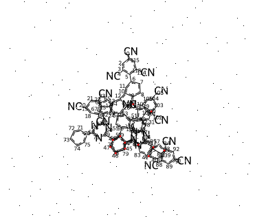 N#Cc1cc(C#N)c(-c2ccc3c(c2)c2cc(-c4c(C#N)cc(C#N)cc4C#N)ccc2n3-c2cccc(-c3nc(-c4ccccc4)nc(-c4ccccc4)n3)c2-c2cccc(-c3c(-c4nc(-c5ccccc5)nc(-c5ccccc5)n4)cccc3-n3c4ccc(-c5c(C#N)cc(C#N)cc5C#N)cc4c4cc(-c5c(C#N)cc(C#N)cc5C#N)ccc43)c2)c(C#N)c1